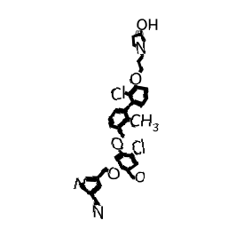 Cc1c(COc2cc(OCc3cncc(C#N)c3)c(C=O)cc2Cl)cccc1-c1cccc(OCCCN2CC[C@@H](O)C2)c1Cl